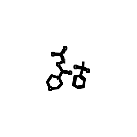 CS(=O)(=O)c1ccccc1.O=C(ON=S(=O)=O)N1CCOCC1